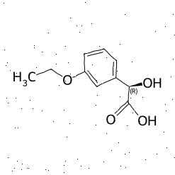 CCOc1cccc([C@@H](O)C(=O)O)c1